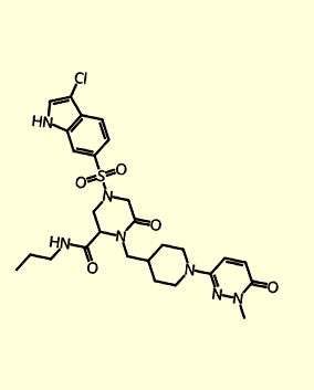 CCCNC(=O)C1CN(S(=O)(=O)c2ccc3c(Cl)c[nH]c3c2)CC(=O)N1CC1CCN(c2ccc(=O)n(C)n2)CC1